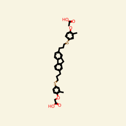 Cc1cc(SCCCc2ccc3c(c2)Cc2cc(CCCSc4ccc(OCC(=O)O)c(C)c4)ccc2-3)ccc1OCC(=O)O